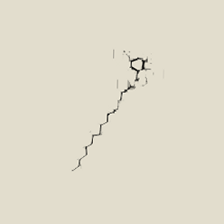 CCCCCCCCCCCCOCCCNC(=O)c1cc(N)cc(Cl)c1O